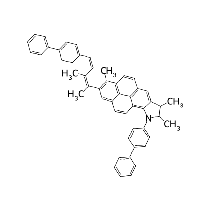 CC(/C=C\C1=CC=C(c2ccccc2)CC1)=C(\C)c1cc2ccc3c4c(cc5ccc(c1C)c2c53)C(C)C(C)N4c1ccc(-c2ccccc2)cc1